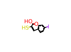 O=C(O)/C(S)=C\c1ccc(I)cc1